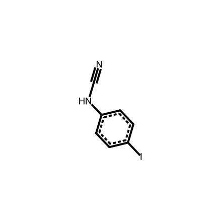 N#CNc1ccc(I)cc1